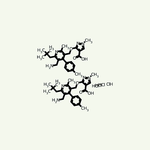 Cc1ccc(-c2c(COc3nn(C)cc3C(=O)O)c(C)nc(CC(C)(C)C)c2CN)cc1.Cc1ccc(-c2c(COc3nn(C)cc3C(=O)O)c(C)nc(CC(C)(C)C)c2CN)cc1.Cl.Cl.Cl.Cl